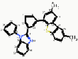 Cc1ccc2sc3c(-c4cccc(-c5nc6ccccc6n5-c5ccccc5)c4)cc(C)cc3c2c1